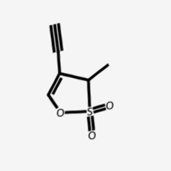 C#CC1=COS(=O)(=O)C1C